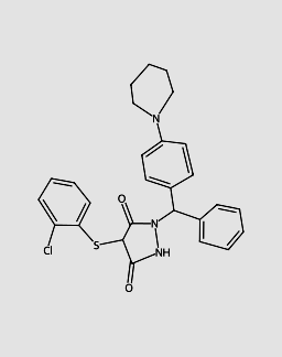 O=C1NN(C(c2ccccc2)c2ccc(N3CCCCC3)cc2)C(=O)C1Sc1ccccc1Cl